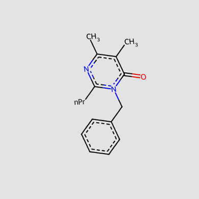 CCCc1nc(C)c(C)c(=O)n1Cc1ccccc1